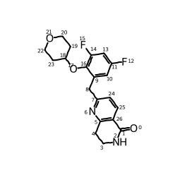 O=C1NCCc2nc(Cc3cc(F)cc(F)c3OC3CCOCC3)ccc21